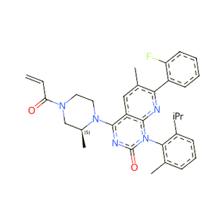 C=CC(=O)N1CCN(c2nc(=O)n(-c3c(C)cccc3C(C)C)c3nc(-c4ccccc4F)c(C)cc23)[C@@H](C)C1